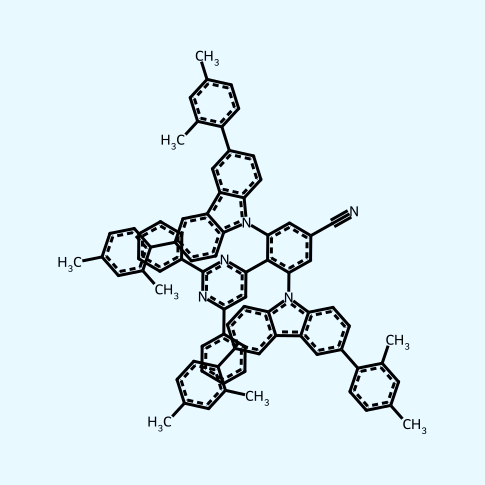 Cc1ccc(-c2ccc3c(c2)c2cc(-c4ccc(C)cc4C)ccc2n3-c2cc(C#N)cc(-n3c4ccc(-c5ccc(C)cc5C)cc4c4cc(-c5ccc(C)cc5C)ccc43)c2-c2cc(-c3ccccc3)nc(-c3ccccc3)n2)c(C)c1